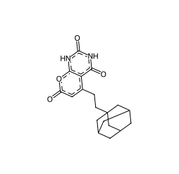 O=c1[nH]c(=O)c2c(CCC34CC5CC(CC(C5)C3)C4)cc(=O)oc2[nH]1